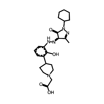 CC1=NN(C2CCCCC2)C(=O)/C1=N\Nc1cccc(C2CCN(CC(=O)O)CC2)c1O